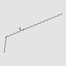 CCCCCCCC/C=C\CCCCCCCC(=O)C=CCCCCCCCCCCCCCCCCCCCCCC